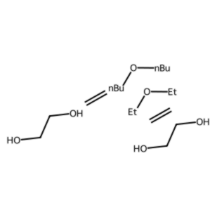 C=C.C=C.CCCCOCCCC.CCOCC.OCCO.OCCO